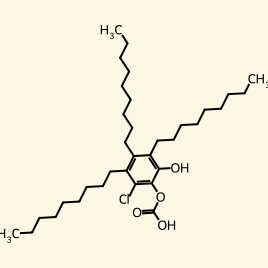 CCCCCCCCCc1c(O)c(OC(=O)O)c(Cl)c(CCCCCCCCC)c1CCCCCCCCC